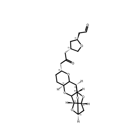 O=CC[C@@H]1C[C@@H](CC(=O)C[C@H]2CC[C@@H]3OC4[C@H]5O[C@@H]6C[C@H]5O[C@H]4[C@@H](O6)C3O2)CO1